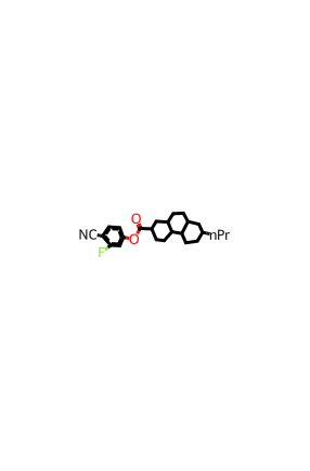 CCCC1CCC2C(CCC3CC(C(=O)Oc4ccc(C#N)c(F)c4)CCC32)C1